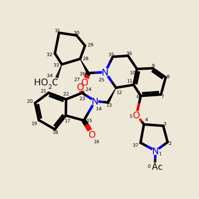 CC(=O)N1CCC(Oc2cccc3c2[C@@H](CN2C(=O)c4ccccc4C2=O)N(C(=O)[C@@H]2CCCC[C@@H]2C(=O)O)CC3)C1